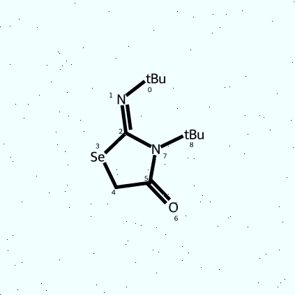 CC(C)(C)N=C1[Se]CC(=O)N1C(C)(C)C